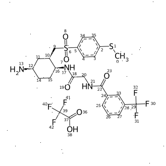 CSc1ccc(S(=O)(=O)C[C@@H]2C[C@H](N)CC[C@@H]2NC(=O)CNC(=O)c2cccc(C(F)(F)F)c2)cc1.O=C(O)C(F)(F)F